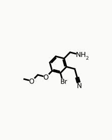 COCOc1ccc(CN)c(CC#N)c1Br